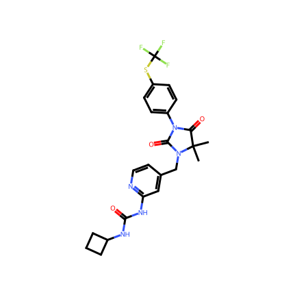 CC1(C)C(=O)N(c2ccc(SC(F)(F)F)cc2)C(=O)N1Cc1ccnc(NC(=O)NC2CCC2)c1